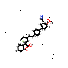 CCC(CCc1ccc(-c2ccc(OC)c(C#N)c2)cc1)C[C@@](F)(C(=O)O)C1CCCCC1